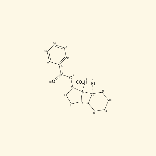 CCC1(C2(C(=O)O)CCCC2OC(=O)c2ccccc2)CCCCC1